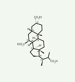 CCOC(=O)[C@@H]1CC[C@@]2(C)[C@@H](C1)C[C@H](C(=O)OCC)[C@@H]1[C@@H]2CC[C@]2(C)[C@@H]([C@H](C)C(C)C(=O)O)CC[C@@H]12